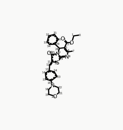 CCOC(=O)C1=C(C)N=c2s/c(=C\c3ccc(N4CCOCC4)cc3)c(=O)n2C1c1ccccc1